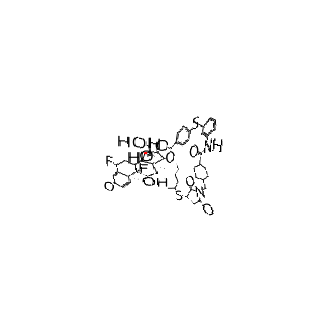 CCCCC(C)SC1CC(=O)N(CC2CCC(C(=O)Nc3cccc(Sc4ccc([C@@H]5O[C@@H]6CC7[C@@H]8C[C@H](F)C9=CC(=O)C=C[C@]9(C)[C@@]8(F)[C@@H](O)C[C@]7(C)[C@]6(C(=O)CO)O5)cc4)c3)CC2)C1=O